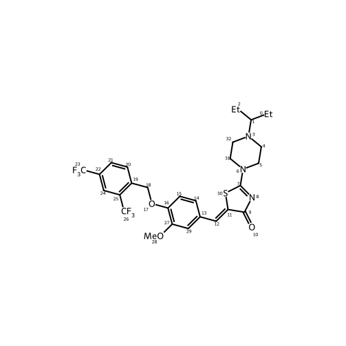 CCC(CC)N1CCN(C2=NC(=O)C(=Cc3ccc(OCc4ccc(C(F)(F)F)cc4C(F)(F)F)c(OC)c3)S2)CC1